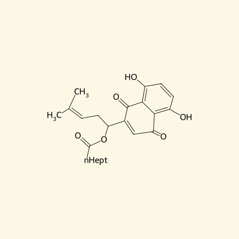 CCCCCCCC(=O)OC(CC=C(C)C)C1=CC(=O)c2c(O)ccc(O)c2C1=O